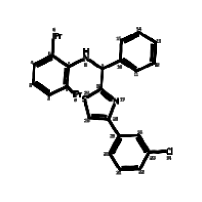 CC(C)c1cccc(C(C)C)c1NC(c1ccccc1)c1nc(-c2cccc(Cl)c2)cs1